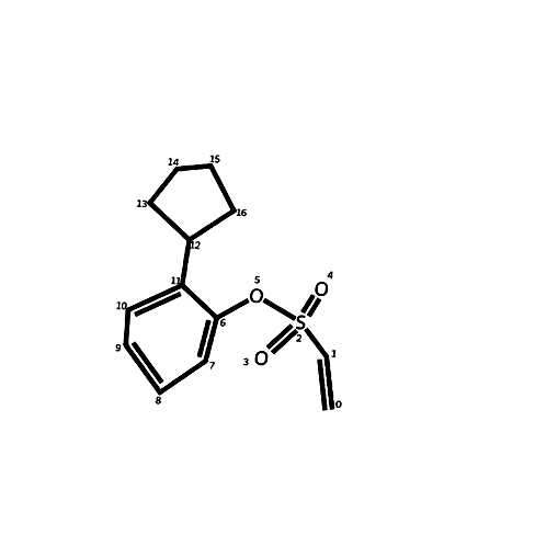 C=CS(=O)(=O)Oc1ccccc1C1CCCC1